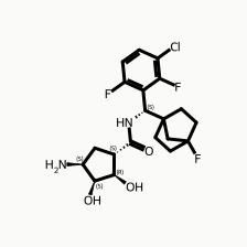 N[C@H]1C[C@H](C(=O)N[C@H](c2c(F)ccc(Cl)c2F)C23CCC(F)(CC2)C3)[C@@H](O)[C@H]1O